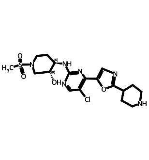 CS(=O)(=O)N1CC[C@@H](Nc2ncc(Cl)c(-c3cnc(C4CCNCC4)o3)n2)[C@H](O)C1